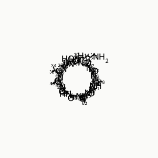 CC[C@H]1NC(=O)[C@H]([C@H](O)[C@H](C)CCCCCCN)N(C)C(=O)[C@@H](C(C)C)N(C)C(=O)[C@@H](CCC(C)C)N(C)C(=O)[C@H](CC(C)C)N(C)C(=O)[C@H](C)NC(=O)[C@@H](C)NC(=O)[C@@H](CC(C)C)N(C)C(=O)[C@@H](C(C)C)NC(=O)[C@H](CC(C)C)N(C)C(=O)[C@@H](C)N(C)C1=O